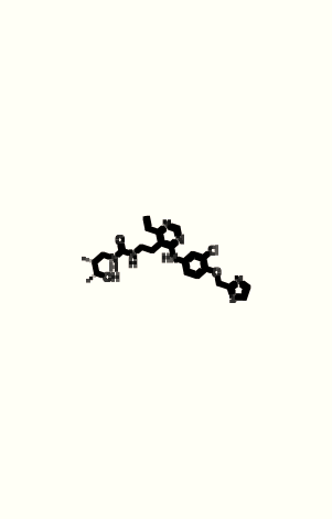 C=Cc1ncnc(Nc2ccc(OCc3nccs3)c(Cl)c2)c1CCNC(=O)NC[C@@H](C)[C@@H](C)O